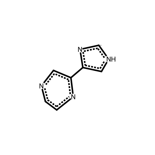 [c]1nc(-c2cnccn2)c[nH]1